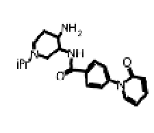 CC(C)N1CCC(N)C(NC(=O)c2ccc(-n3ccccc3=O)cc2)C1